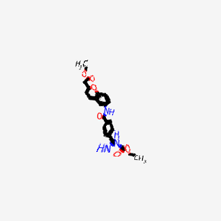 CCCOC(=O)NC(=N)c1ccc(C(=O)Nc2ccc3c(c2)CCC(CC(=O)OCC)O3)cc1